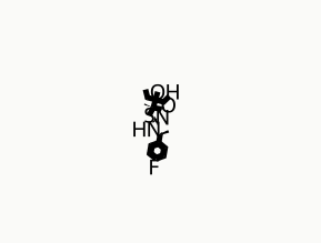 CCC(O)(CC)[C@]1(C)SC(N[C@@H](C)c2ccc(F)cc2)=NC1=O